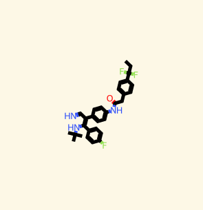 CCC(F)(F)c1ccc(CC(=O)Nc2ccc(/C(C=N)=C(/NC(C)(C)C)c3ccc(F)cc3)cc2)cc1